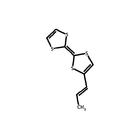 C/C=C/C1=CSC(=C2SC=CS2)S1